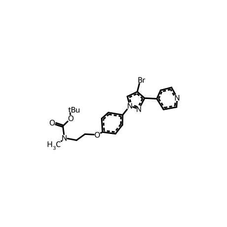 CN(CCOc1ccc(-n2cc(Br)c(-c3ccncc3)n2)cc1)C(=O)OC(C)(C)C